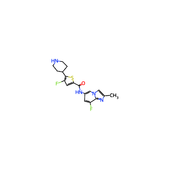 Cc1cn2cc(NC(=O)c3cc(F)c(C4CCNCC4)s3)cc(F)c2n1